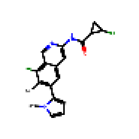 CC(C)n1cccc1-c1cc2cc(NC(=O)C3CC3F)ncc2c(F)c1C#N